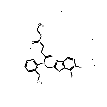 CCOC(=O)CCC(=O)N(Cc1nc2ccc(F)c(F)c2s1)c1ccccc1SC